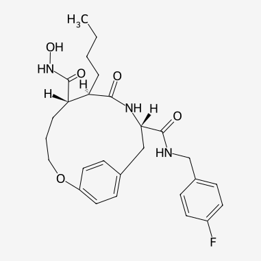 CCCC[C@H]1C(=O)N[C@H](C(=O)NCc2ccc(F)cc2)Cc2ccc(cc2)OCCC[C@@H]1C(=O)NO